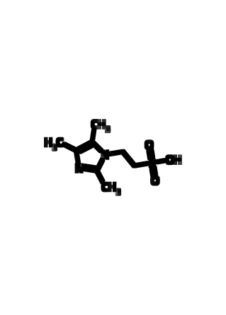 Cc1nc(C)n(CCS(=O)(=O)O)c1C